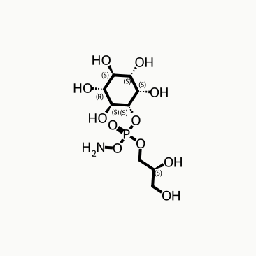 NOP(=O)(OC[C@@H](O)CO)O[C@@H]1[C@@H](O)[C@H](O)[C@@H](O)[C@H](O)[C@@H]1O